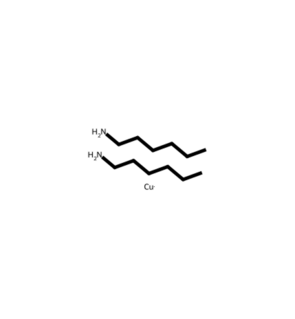 CCCCCCN.CCCCCCN.[Cu]